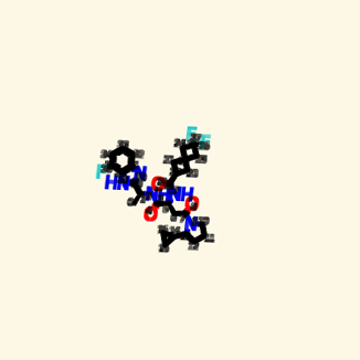 C[C@H](NC(=O)[C@H](CC(=O)N1CCCC1C1CC1)NC(=O)C1CC2(C1)CC(F)(F)C2)c1nc2cccc(F)c2[nH]1